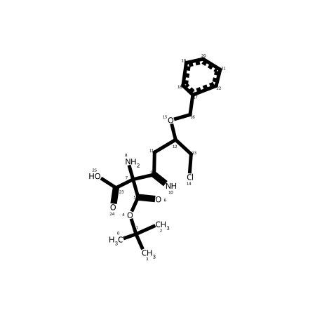 CC(C)(C)OC(=O)C(N)(C(=N)CC(CCl)OCc1ccccc1)C(=O)O